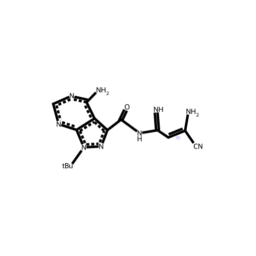 CC(C)(C)n1nc(C(=O)NC(=N)/C=C(\N)C#N)c2c(N)ncnc21